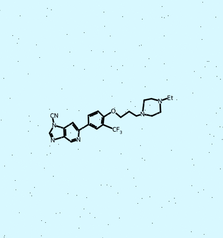 CCN1CCN(CCCOc2ccc(-c3cc4c(cn3)ncn4C#N)cc2C(F)(F)F)CC1